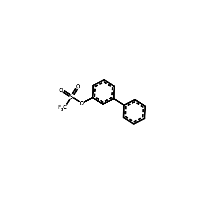 O=S(=O)(Oc1cccc(-c2ccccc2)c1)C(F)(F)F